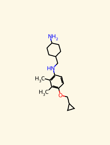 Cc1c(NCC2CCC(N)CC2)ccc(OCC2CC2)c1C